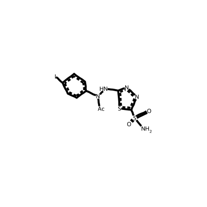 CC(=O)N(Nc1nnc(S(N)(=O)=O)s1)c1ccc(I)cc1